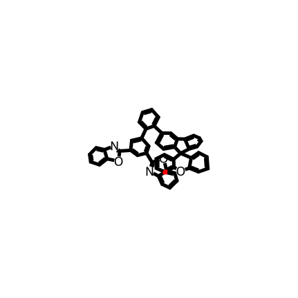 c1ccc2c(c1)Oc1ccccc1C21c2ccccc2-c2cc(-c3ccccc3-c3cc(-c4nc5ccccc5o4)cc(-c4nc5ccccc5o4)c3)ccc21